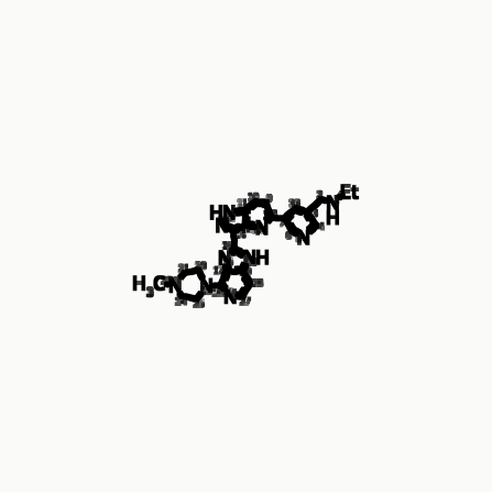 CCNCc1cncc(-c2ccc3[nH]nc(-c4nc5c(N6CCN(C)CC6)nccc5[nH]4)c3n2)c1